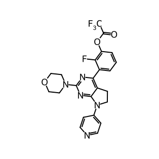 O=C(Oc1cccc(-c2nc(N3CCOCC3)nc3c2CCN3c2ccncc2)c1F)C(F)(F)F